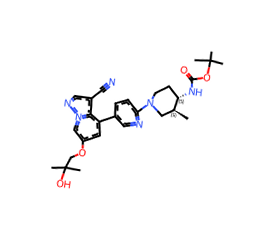 C[C@H]1CN(c2ccc(-c3cc(OCC(C)(C)O)cn4ncc(C#N)c34)cn2)CC[C@@H]1NC(=O)OC(C)(C)C